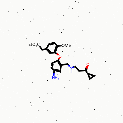 CCOC(=O)Cc1ccc(OC)c(Oc2ccc(N)cc2CNCCC(=O)C2CC2)c1